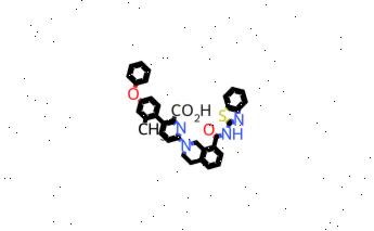 Cc1cc(Oc2ccccc2)ccc1-c1ccc(N2CCc3cccc(C(=O)Nc4nc5ccccc5s4)c3C2)nc1C(=O)O